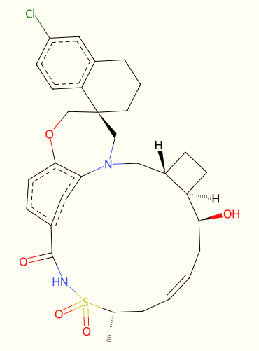 C[C@H]1C/C=C\C[C@H](O)[C@@H]2CC[C@H]2CN2C[C@@]3(CCCc4cc(Cl)ccc43)COc3ccc(cc32)C(=O)NS1(=O)=O